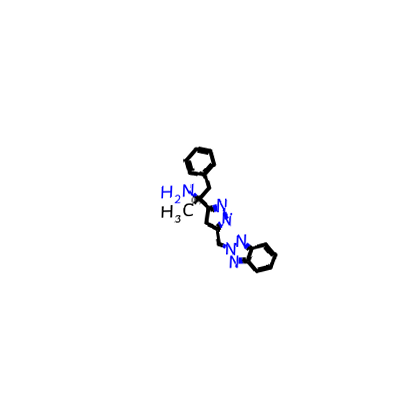 C[C@@](N)(Cc1ccccc1)C1=NN=C(Cn2nc3ccccc3n2)C1